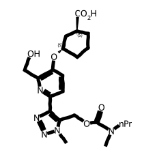 CCCN(C)C(=O)OCc1c(-c2ccc(O[C@H]3CCC[C@H](C(=O)O)C3)c(CO)n2)nnn1C